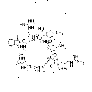 C=C(N)C1CCCNC(=O)CC[C@H](NC(=O)[C@H](CCCNC(=N)N)NC(C)=O)C(=O)N[C@@H](CCN)C(=O)N[C@H](Cc2ccc(C)cc2C)C(=O)N[C@@H](CCCNC(=N)N)C(=O)N[C@@H](Cc2c[nH]c3ccccc23)C(=O)N1